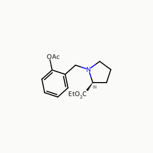 CCOC(=O)[C@@H]1CCCN1Cc1ccccc1OC(C)=O